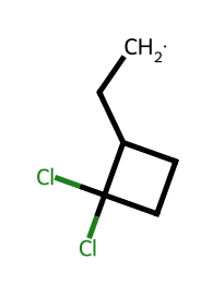 [CH2]CC1CCC1(Cl)Cl